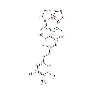 CCc1cc(CCc2cc(CC)c(N(C(C)C3CCCC3)C(C)C3CCCC3)c(CC)c2)cc(CC)c1N